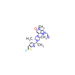 CC[C@@H]1CN(c2cc(=O)n(C)c3cn(CC#N)nc23)[C@@H](C)CN1C(C)c1ccc2cc(F)sc2n1